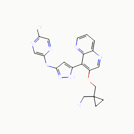 N#Cc1cnc(Nc2cc(-c3c(OCC4(CN)CC4)cnc4cccnc34)[nH]n2)cn1